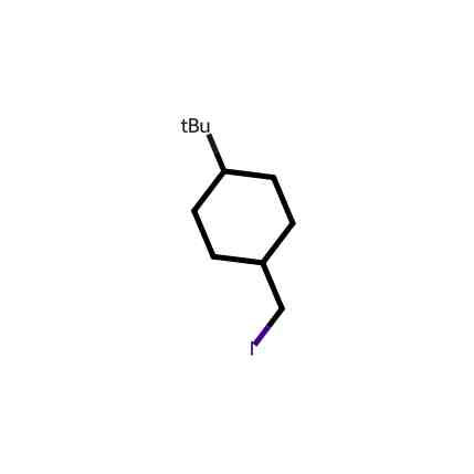 CC(C)(C)C1CCC(CI)CC1